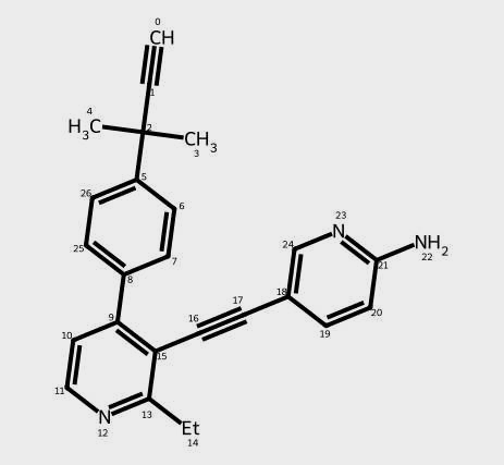 C#CC(C)(C)c1ccc(-c2ccnc(CC)c2C#Cc2ccc(N)nc2)cc1